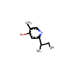 Cc1cnc(C(C#N)CC(C)C)cc1Br